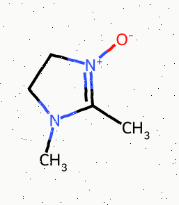 CC1=[N+]([O-])CCN1C